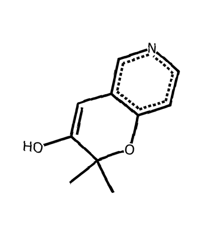 CC1(C)Oc2ccncc2C=C1O